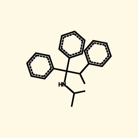 CC(C)NC(c1ccccc1)(c1ccccc1)C(C)c1ccccc1